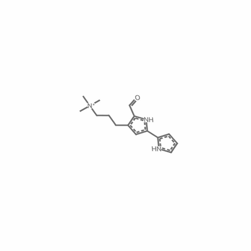 C[N+](C)(C)CCCc1cc(-c2ccc[nH]2)[nH]c1C=O